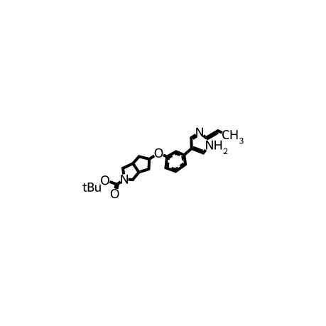 C/C=C/N=C\C(=C/N)c1cccc(OC2CC3CN(C(=O)OC(C)(C)C)CC3C2)c1